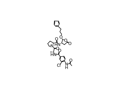 CC(=O)Nc1ccc(C(=O)N[C@@H](C)C(=O)N2CCC[C@H]2C(=O)N[C@H]2CC(=O)OC2OCCCc2ccccc2)cc1Cl